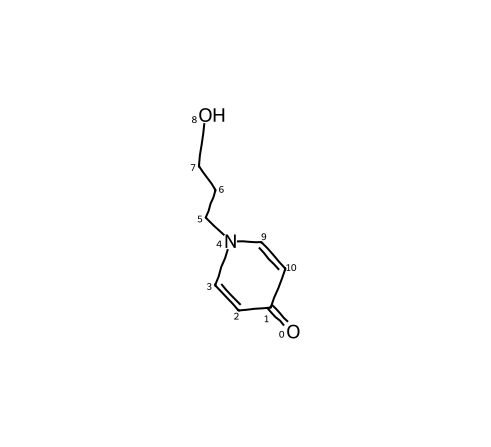 O=c1ccn(CCCO)cc1